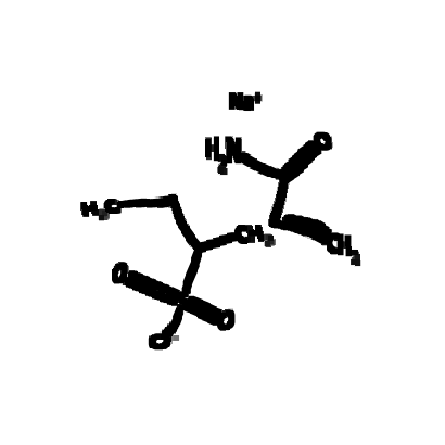 C=CC(N)=O.CCC(C)S(=O)(=O)[O-].[Na+]